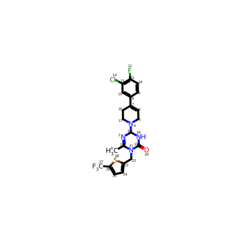 CC1=NC(N2CC=C(c3ccc(F)c(Cl)c3)CC2)NC(=O)N1Cc1ccc(C(F)(F)F)s1